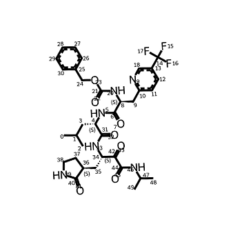 CC(C)C[C@H](NC(=O)[C@H](Cc1ccc(C(F)(F)F)cn1)NC(=O)OCc1ccccc1)C(=O)N[C@@H](C[C@@H]1CCNC1=O)C(=O)C(=O)NC(C)C